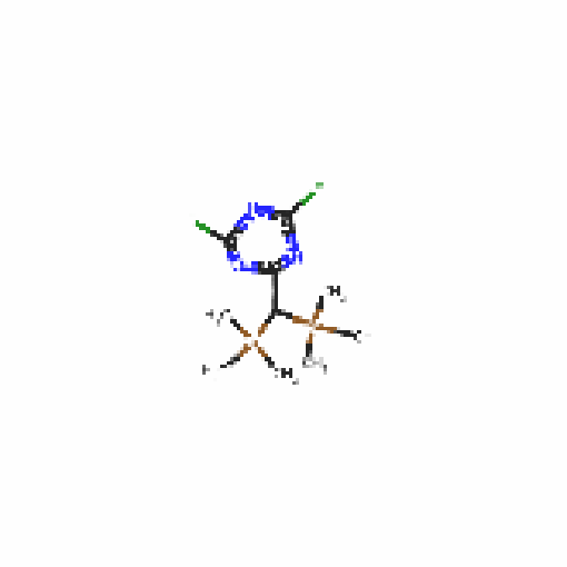 CS(C)(C)C(c1nc(F)nc(F)n1)S(C)(C)C